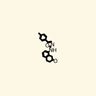 Cc1ccc(-c2cnc(Nc3cccc4c3CC(=O)CC4)o2)cc1